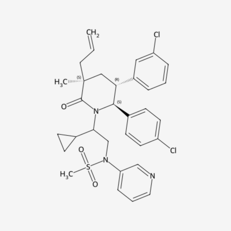 C=CC[C@@]1(C)C[C@H](c2cccc(Cl)c2)[C@@H](c2ccc(Cl)cc2)N(C(CN(c2cccnc2)S(C)(=O)=O)C2CC2)C1=O